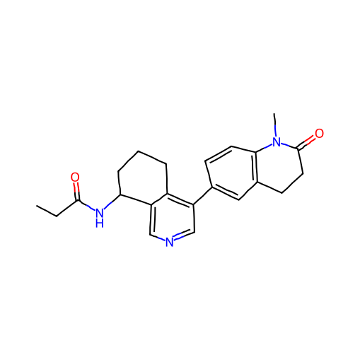 CCC(=O)NC1CCCc2c(-c3ccc4c(c3)CCC(=O)N4C)cncc21